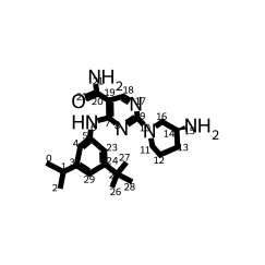 CC(C)c1cc(Nc2nc(N3CCC[C@H](N)C3)ncc2C(N)=O)cc(C(C)(C)C)c1